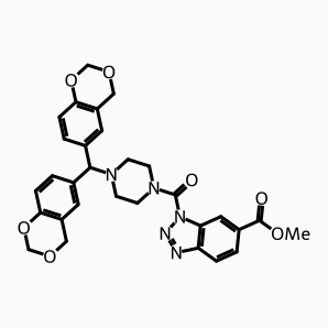 COC(=O)c1ccc2nnn(C(=O)N3CCN(C(c4ccc5c(c4)COCO5)c4ccc5c(c4)COCO5)CC3)c2c1